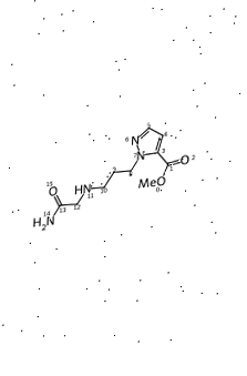 COC(=O)c1ccnn1CCCNCC(N)=O